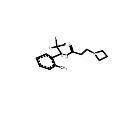 Cc1ccccc1[C@H](NC(=O)CCN1CCC1)C(F)(F)F